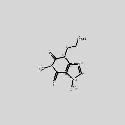 CCOC(=O)CCn1c(=O)n(C)c(=O)c2c1ncn2C